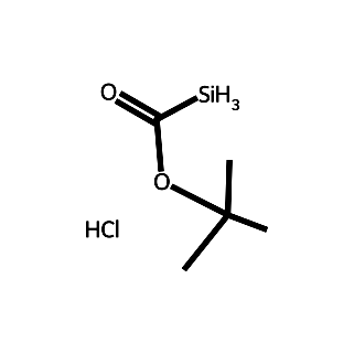 CC(C)(C)OC(=O)[SiH3].Cl